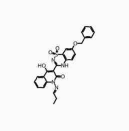 CCC=Nn1c(=O)c(C2=NS(=O)(=O)c3cc(OCc4ccccc4)ccc3N2)c(O)c2ccccc21